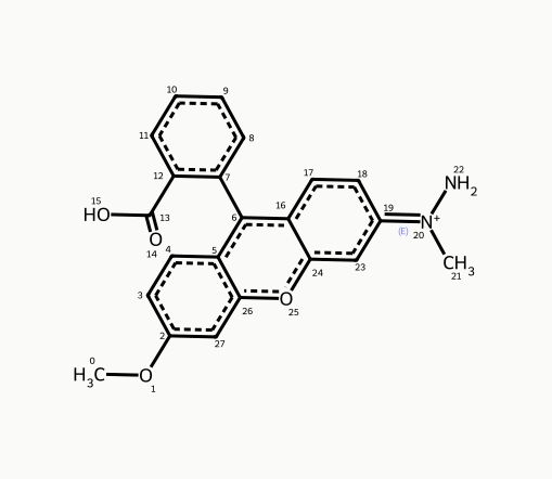 COc1ccc2c(-c3ccccc3C(=O)O)c3cc/c(=[N+](/C)N)cc-3oc2c1